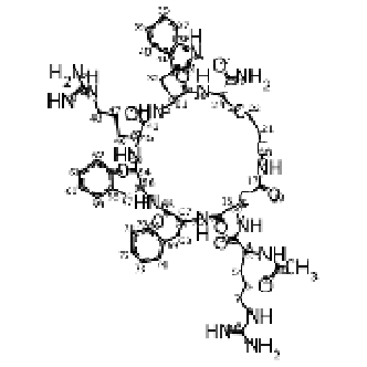 CC(=O)N[C@@H](CCCNC(=N)N)C(=O)N[C@H]1CC(=O)NCCCC[C@@H](C(N)=O)NC(=O)[C@H](Cc2c[nH]c3ccccc23)NC(=O)[C@H](CCCNC(=N)N)NC(=O)[C@@H](Cc2ccccc2)NC(=O)[C@H](Cc2ccccc2)NC1=O